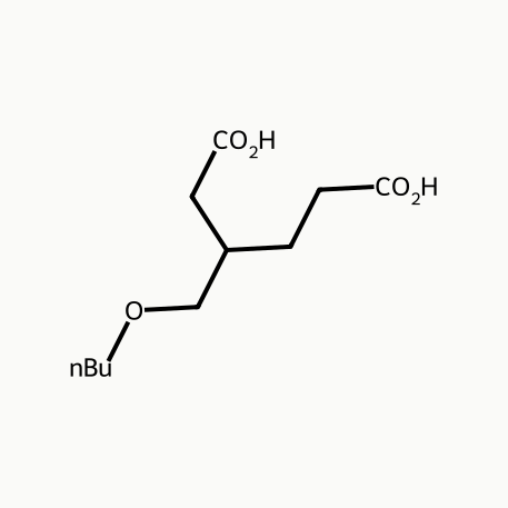 CCCCOCC(CCC(=O)O)CC(=O)O